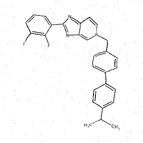 CC(C)c1ccc(-c2ccc(Cn3ccc4nc(-c5cccc(F)c5F)nc-4c3)cc2)cc1